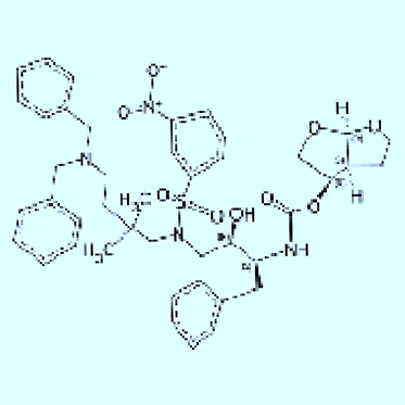 CC(C)(CCN(Cc1ccccc1)Cc1ccccc1)CN(C[C@@H](O)[C@H](Cc1ccccc1)NC(=O)O[C@H]1CO[C@H]2OCC[C@H]21)S(=O)(=O)c1cccc([N+](=O)[O-])c1